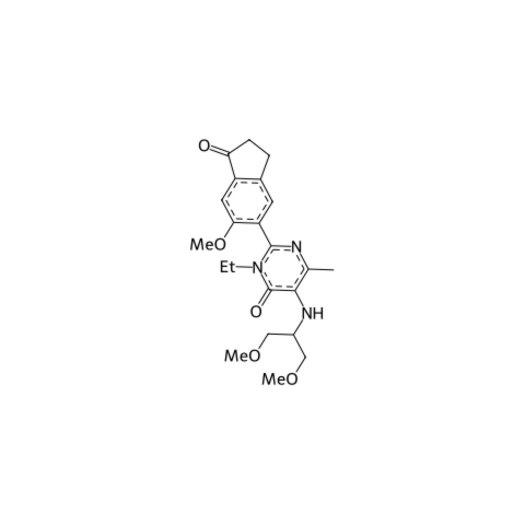 CCn1c(-c2cc3c(cc2OC)C(=O)CC3)nc(C)c(NC(COC)COC)c1=O